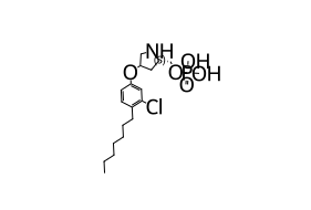 CCCCCCCc1ccc(OC2CN[C@H](COP(=O)(O)O)C2)cc1Cl